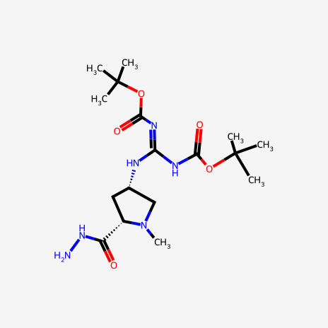 CN1C[C@@H](N/C(=N\C(=O)OC(C)(C)C)NC(=O)OC(C)(C)C)C[C@H]1C(=O)NN